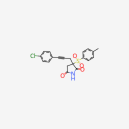 Cc1ccc(S(=O)(=O)C2(CC#Cc3ccc(Cl)cc3)CC(=O)NC2=O)cc1